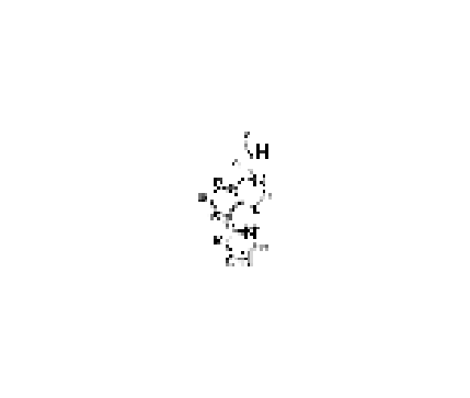 CNC[C@@H]1OCCc2c(-c3ccncn3)cccc21